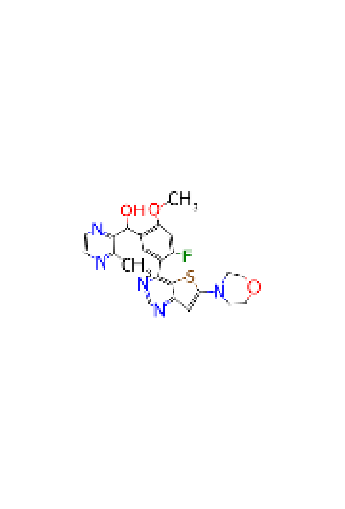 COc1cc(F)c(-c2ncnc3cc(N4CCOCC4)sc23)cc1C(O)c1nccnc1C